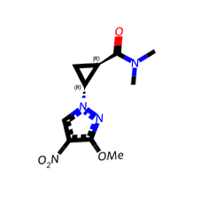 COc1nn([C@@H]2C[C@H]2C(=O)N(C)C)cc1[N+](=O)[O-]